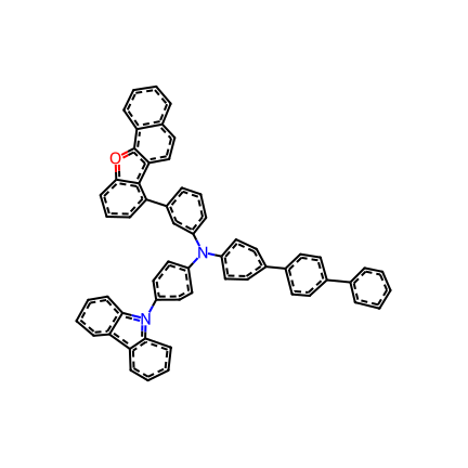 c1ccc(-c2ccc(-c3ccc(N(c4ccc(-n5c6ccccc6c6ccccc65)cc4)c4cccc(-c5cccc6oc7c8ccccc8ccc7c56)c4)cc3)cc2)cc1